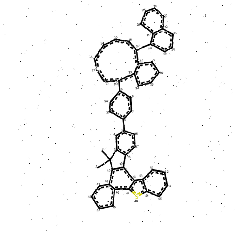 CC1(C)c2cc(-c3ccc(-c4ccccccc(-c5cccc6ccccc56)c5ccccc45)cc3)ccc2-c2c1c1ccccc1c1sc3ccccc3c21